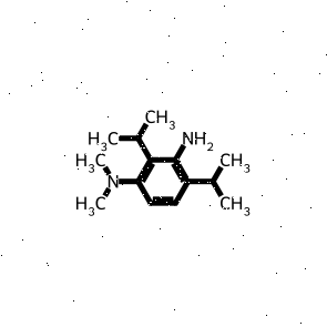 CC(C)c1ccc(N(C)C)c(C(C)C)c1N